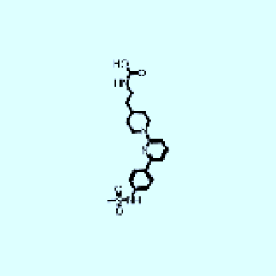 CS(=O)(=O)Nc1ccc(-c2cccc(N3CCC(CCNC(=O)O)CC3)n2)cc1